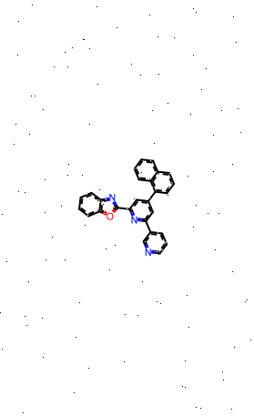 c1cncc(-c2cc(-c3cccc4ccccc34)cc(-c3nc4ccccc4o3)n2)c1